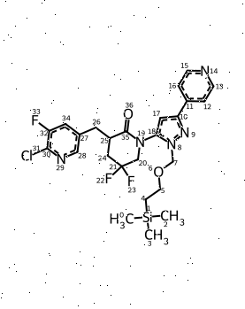 C[Si](C)(C)CCOCn1nc(-c2ccncc2)cc1N1CC(F)(F)CC(Cc2cnc(Cl)c(F)c2)C1=O